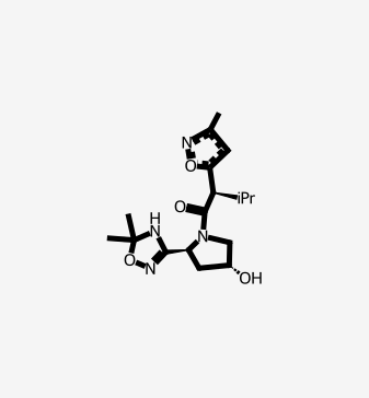 Cc1cc([C@H](C(=O)N2C[C@H](O)C[C@H]2C2=NOC(C)(C)N2)C(C)C)on1